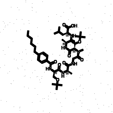 CCCCCCc1ccc(C(=O)N[C@H](COC(C)(C)C)C(=O)N[C@H](C)C(=O)NCC(=O)N(C)[C@H](C(=O)N[C@@H](C)C(=O)N[C@@H](CC(C)C)C(=O)O)C(C)OC(C)(C)C)cc1